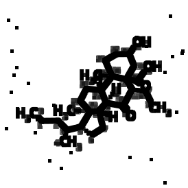 CCC[C@@H](C)[C@H]1CC[C@H]2[C@@H]3C(=O)[C@H](CC)C4(C(=O)O)CC(O)CC[C@]4(C)[C@H]3CC[C@]12C